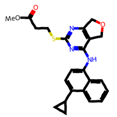 COC(=O)CCSc1nc2c(c(Nc3ccc(C4CC4)c4ccccc34)n1)COC2